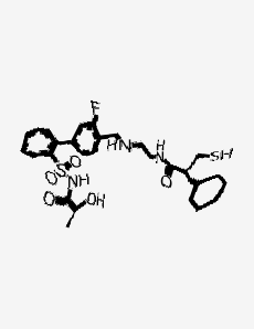 C[C@H](O)C(=O)NS(=O)(=O)c1ccccc1-c1ccc(CNCCNC(=O)[C@@H](CS)C2CCCCC2)c(F)c1